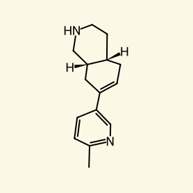 Cc1ccc(C2=CC[C@H]3CCNC[C@H]3C2)cn1